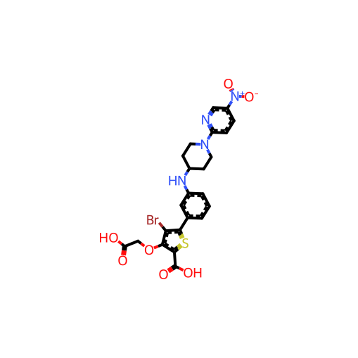 O=C(O)COc1c(C(=O)O)sc(-c2cccc(NC3CCN(c4ccc([N+](=O)[O-])cn4)CC3)c2)c1Br